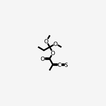 CCC(OC)(OC)OC(=O)C(C)=C=S